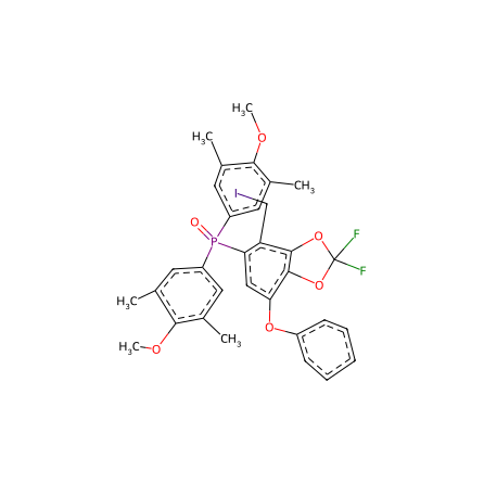 COc1c(C)cc(P(=O)(c2cc(C)c(OC)c(C)c2)c2cc(Oc3ccccc3)c3c(c2CI)OC(F)(F)O3)cc1C